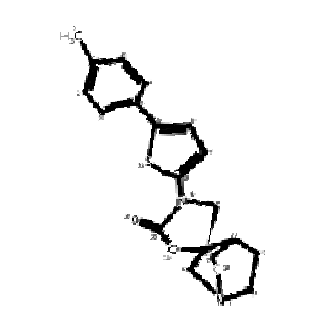 Cc1ccc(-c2ccc(N3C[C@@]4(CN5CCC4CC5)OC3=O)s2)cc1